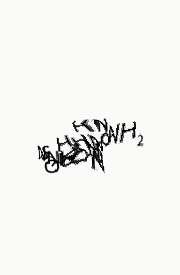 Cc1cc(NC(=O)c2cc3ccc(-c4nccc(Nc5ccc(N)c(C=N)c5)n4)cc3[nH]2)sn1